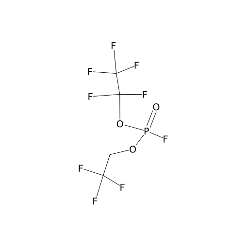 O=P(F)(OCC(F)(F)F)OC(F)(F)C(F)(F)F